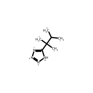 CC(C)C(C)(C)c1nnn[nH]1